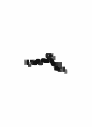 CCNCCN(C)CCOCCN